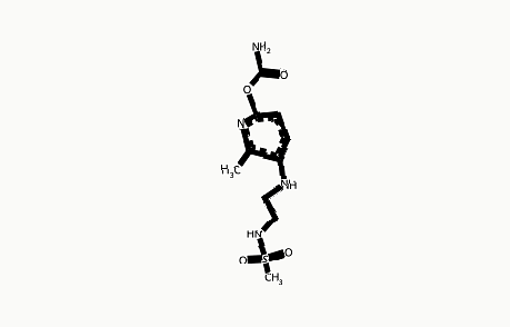 Cc1nc(OC(N)=O)ccc1NCCNS(C)(=O)=O